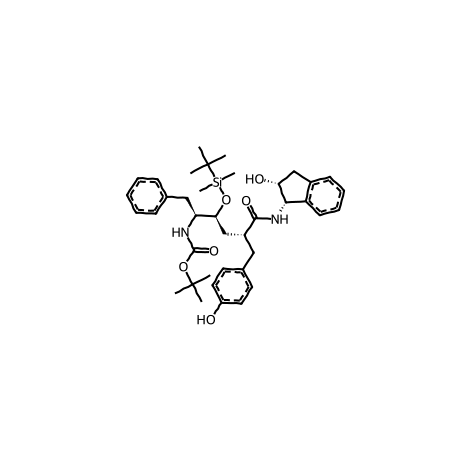 CC(C)(C)OC(=O)N[C@@H](Cc1ccccc1)[C@H](C[C@@H](Cc1ccc(O)cc1)C(=O)N[C@H]1c2ccccc2C[C@H]1O)O[Si](C)(C)C(C)(C)C